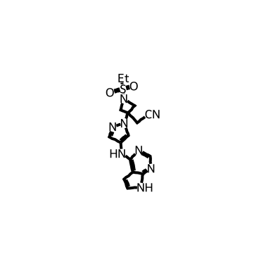 CCS(=O)(=O)N1CC(CC#N)(n2cc(Nc3ncnc4[nH]ccc34)cn2)C1